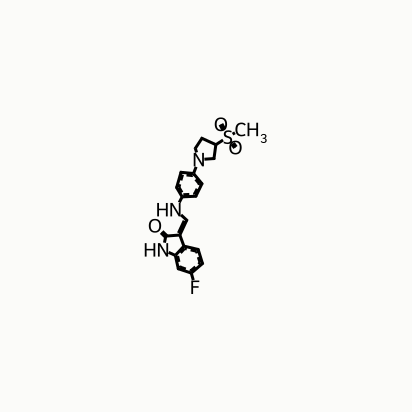 CS(=O)(=O)C1CCN(c2ccc(NC=C3C(=O)Nc4cc(F)ccc43)cc2)C1